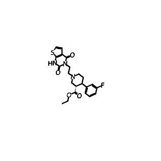 CCOC(=O)[C@@H]1CN(CCn2c(=O)[nH]c3sccc3c2=O)CCC1c1cccc(F)c1